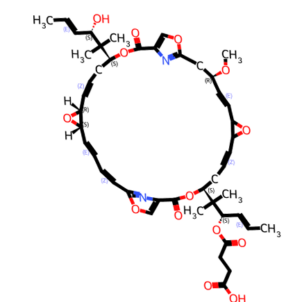 C/C=C/[C@H](OC(=O)CCC(=O)O)C(C)(C)[C@@H]1C/C=C\C2OC2/C=C/[C@H](OC)Cc2nc(co2)C(=O)O[C@H](C(C)(C)[C@@H](O)/C=C/C)C/C=C\[C@H]2O[C@H]2/C=C/C=C\c2nc(co2)C(=O)O1